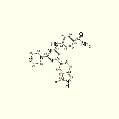 CN1NC=C2CC=C(c3cc(Nc4ccc(C(N)=O)cc4)nc(N4CCOCC4)n3)C=C21